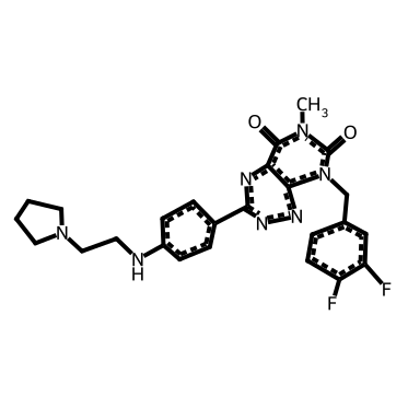 Cn1c(=O)c2nc(-c3ccc(NCCN4CCCC4)cc3)nnc2n(Cc2ccc(F)c(F)c2)c1=O